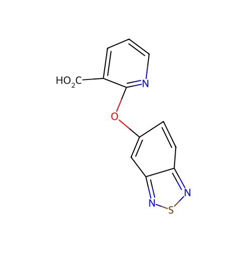 O=C(O)c1cccnc1Oc1ccc2nsnc2c1